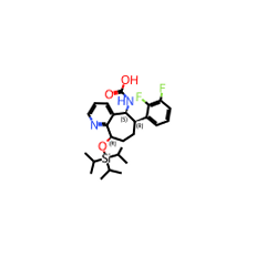 CC(C)[Si](O[C@@H]1CC[C@H](c2cccc(F)c2F)[C@H](NC(=O)O)c2cccnc21)(C(C)C)C(C)C